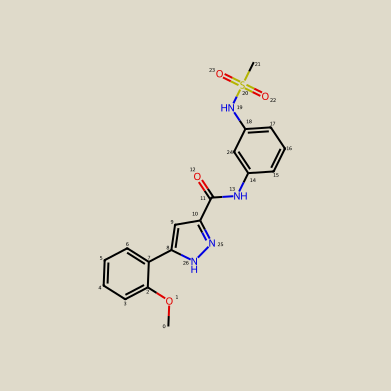 COc1ccccc1-c1cc(C(=O)Nc2cccc(NS(C)(=O)=O)c2)n[nH]1